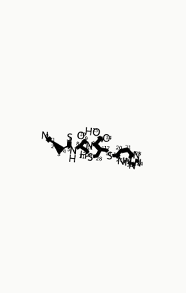 N#C[C@@H]1C[C@@H]1C(=S)NC1C(=O)N2C(C(=O)O)=C(CSc3ccc4nnnn4n3)CS[C@@H]12